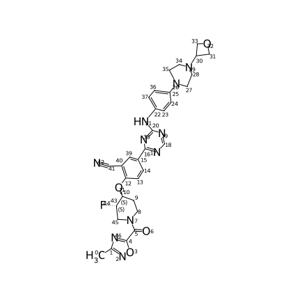 Cc1noc(C(=O)N2CC[C@H](Oc3ccc(-c4ncnc(Nc5ccc(N6CCN(C7COC7)CC6)cc5)n4)cc3C#N)[C@@H](F)C2)n1